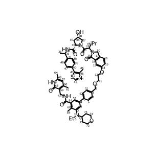 CCN(c1cc(-c2ccc(COCCOc3ccc4c(c3)C(=O)N(C(C(=O)N3C[C@H](O)C[C@H]3C(=O)NC(C)c3ccc(-c5scnc5C)cc3)C(C)C)C4)cc2)cc(C(=O)NCc2c(C)cc(C)[nH]c2=O)c1C)C1CCOCC1